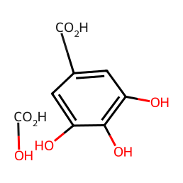 O=C(O)O.O=C(O)c1cc(O)c(O)c(O)c1